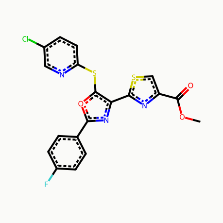 COC(=O)c1csc(-c2nc(-c3ccc(F)cc3)oc2Sc2ccc(Cl)cn2)n1